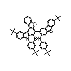 CC(C)(C)c1ccc(N2B3c4cc(C(C)(C)C)ccc4-n4c5ccc(C(C)(C)C)cc5c5c6c(oc7ccccc76)c(c3c54)-c3cc4c(cc32)sc2cc(C(C)(C)C)ccc24)cc1